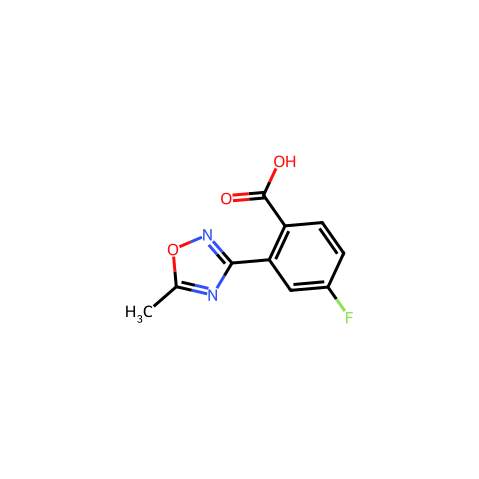 Cc1nc(-c2cc(F)ccc2C(=O)O)no1